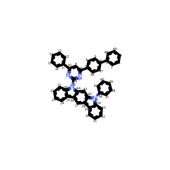 c1ccc(-c2ccc(-c3cc(-c4ccccc4)nc(-n4c5ccccc5c5cc6c7ccccc7n(-c7ccccc7)c6cc54)n3)cc2)cc1